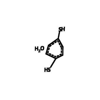 O.Sc1ccc(S)cc1